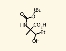 CCC(O)C(C)(NC(=O)OC(C)(C)C)C(=O)O